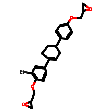 CCc1cc(C2=CCC(c3ccc(OCC4CO4)cc3)CC2)ccc1OCC1CO1